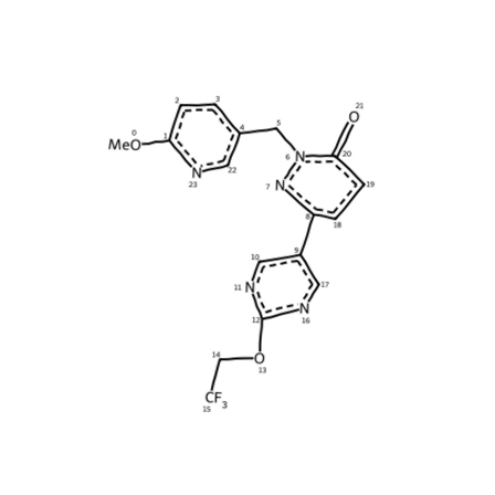 COc1ccc(Cn2nc(-c3cnc(OCC(F)(F)F)nc3)ccc2=O)cn1